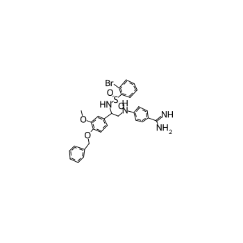 COc1cc(C(CNc2ccc(C(=N)N)cc2)NS(=O)(=O)c2ccccc2Br)ccc1OCc1ccccc1